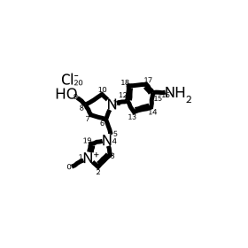 C[n+]1ccn(CC2CC(O)CN2c2ccc(N)cc2)c1.[Cl-]